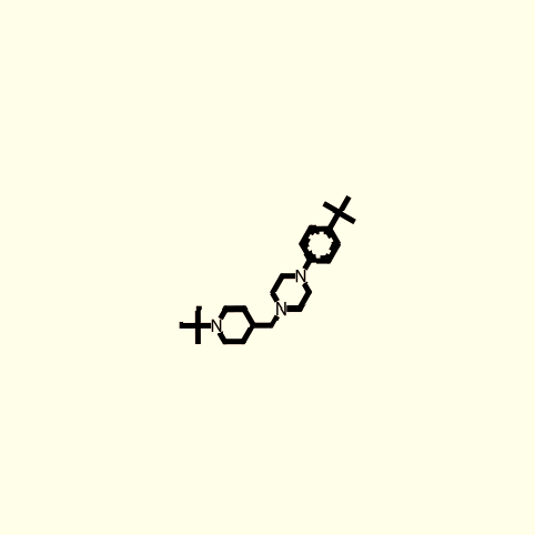 CC(C)(C)c1ccc(N2CCN(CC3CCN(C(C)(C)C)CC3)CC2)cc1